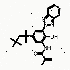 C=C(C)C(=O)Nc1cc(C(C)(C)CC(C)(C)C)cc(-n2nc3ccccc3n2)c1O